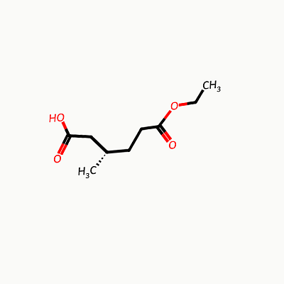 CCOC(=O)CC[C@H](C)CC(=O)O